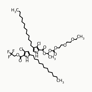 CCCCCCCCCCCCCc1c[nH]c(C(=O)OC(C)OC(=O)OCCOCCOCC)c1Cl.CCCCCCCCCCCCc1cc(Cl)c(C(=O)OCC(F)(F)F)[nH]1